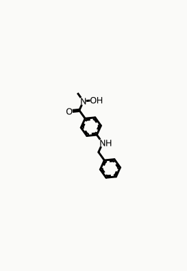 CN(O)C(=O)c1ccc(NCc2ccccc2)cc1